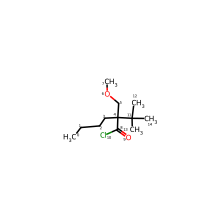 CCCCC(COC)(C(=O)Cl)C(C)(C)C